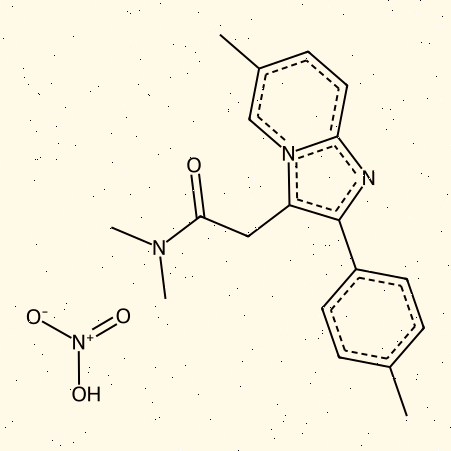 Cc1ccc(-c2nc3ccc(C)cn3c2CC(=O)N(C)C)cc1.O=[N+]([O-])O